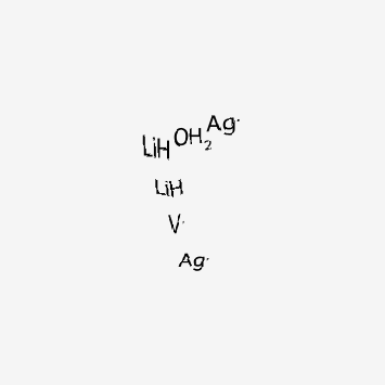 O.[Ag].[Ag].[LiH].[LiH].[V]